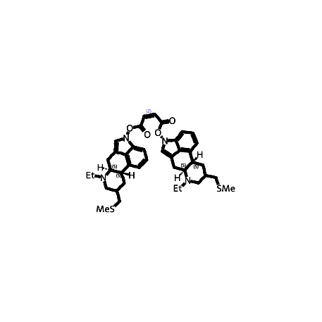 CCN1CC(CSC)C[C@H]2c3cccc4c3c(cn4OC(=O)/C=C\C(=O)On3cc4c5c(cccc53)[C@@H]3CC(CSC)CN(CC)[C@H]3C4)C[C@@H]21